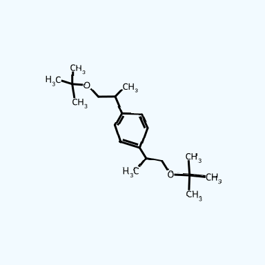 CC(COC(C)(C)C)c1ccc(C(C)COC(C)(C)C)cc1